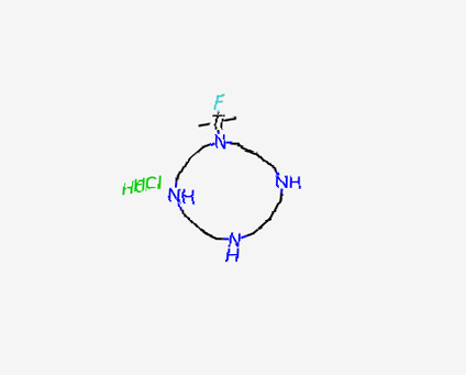 Cl.Cl.[CH3][Ti]([CH3])([F])[N]1CCCNCCCNCCCNCCC1